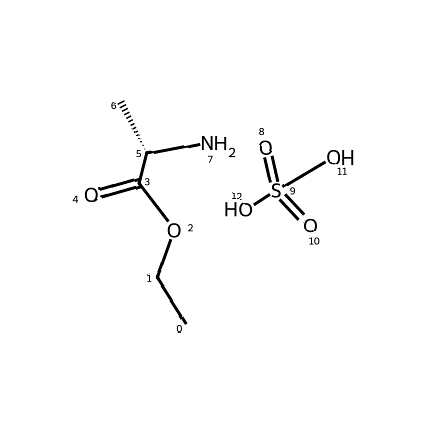 CCOC(=O)[C@H](C)N.O=S(=O)(O)O